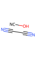 N#CC#N.N#CO